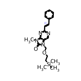 Cn1c(=O)n(COCC[Si](C)(C)C)c2cnc(/C=C/c3ccccc3)nc21